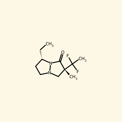 CC[C@H]1CCN2C[C@@](C)(C(C)(F)F)C(=O)N12